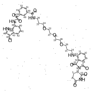 O=C1CCC(N2C(=O)c3cccc(NCCCOCCOCCOCCCNC(=O)c4cccc(S(=O)(=O)Nc5cccc6c(Cl)c[nH]c56)c4)c3C2=O)C(=O)N1